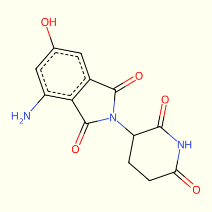 Nc1cc(O)cc2c1C(=O)N(C1CCC(=O)NC1=O)C2=O